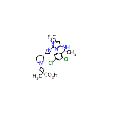 C[C@@H](Nc1cc(C(F)(F)F)nc(N2CC([C@H]3CCCN([C@H]4C[C@](C)(C(=O)O)C4)C3)C2)n1)c1ccc(Cl)cc1Cl